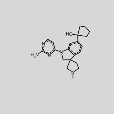 CN1CCC2(C1)CN(c1ccnc(N)n1)c1cc(C3(O)CCCC3)ccc12